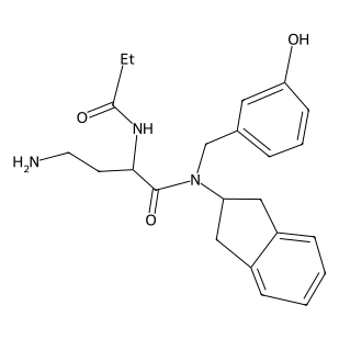 CCC(=O)NC(CCN)C(=O)N(Cc1cccc(O)c1)C1Cc2ccccc2C1